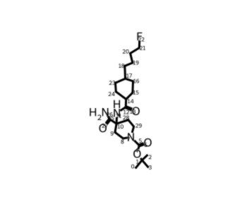 CC(C)(C)OC(=O)N1CCC(NC(=O)C2CCC(CCCCF)CC2)(C(N)=O)CC1